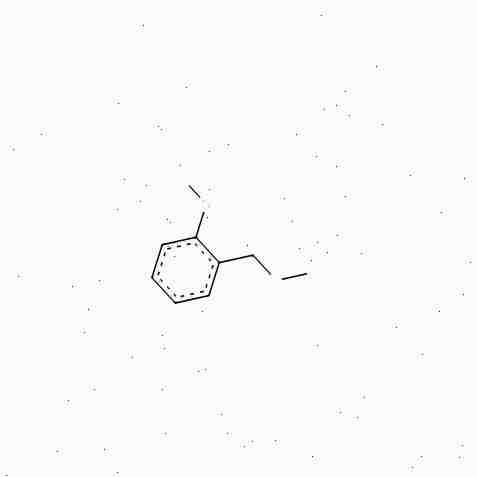 CC(C)SCc1ccccc1NC=O